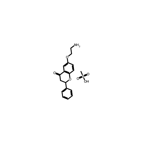 CS(=O)(=O)O.NCCOc1ccc2c(c1)C(=O)CC(c1ccccc1)O2